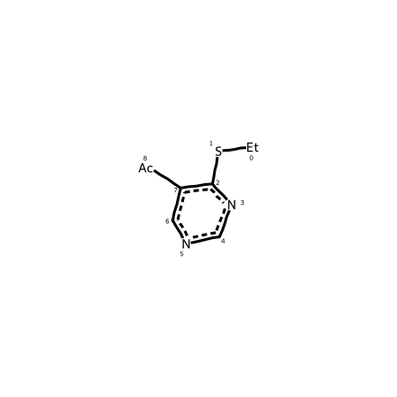 CCSc1ncncc1C(C)=O